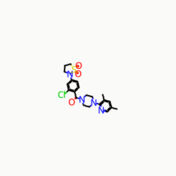 Cc1cnc(N2CCN(C(=O)c3ccc(N4CCCS4(=O)=O)cc3Cl)CC2)c(C)c1